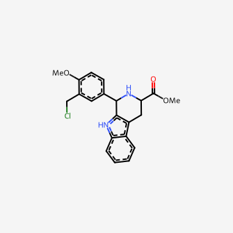 COC(=O)C1Cc2c([nH]c3ccccc23)C(c2ccc(OC)c(CCl)c2)N1